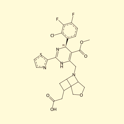 COC(=O)C1=C(CN2C3COCC34C(CC(=O)O)CC24)NC(c2nccs2)=N[C@H]1c1ccc(F)c(F)c1Cl